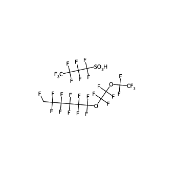 FCC(F)(F)C(F)(F)C(F)(F)C(F)(F)C(F)(F)OC(F)(F)C(F)(F)OC(F)(F)C(F)(F)F.O=S(=O)(O)C(F)(F)C(F)(F)C(F)(F)C(F)(F)F